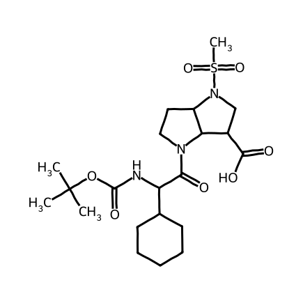 CC(C)(C)OC(=O)NC(C(=O)N1CCC2C1C(C(=O)O)CN2S(C)(=O)=O)C1CCCCC1